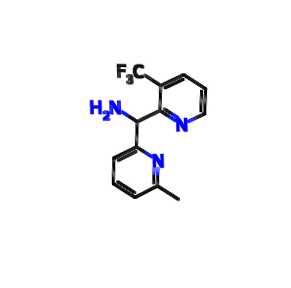 Cc1cccc(C(N)c2ncccc2C(F)(F)F)n1